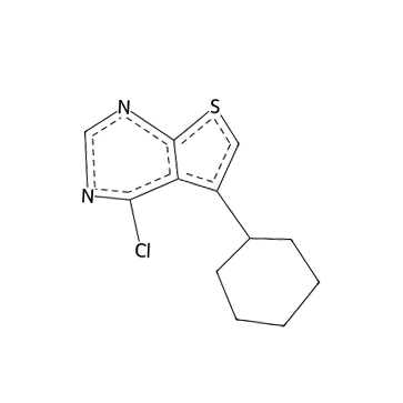 Clc1ncnc2scc(C3CCCCC3)c12